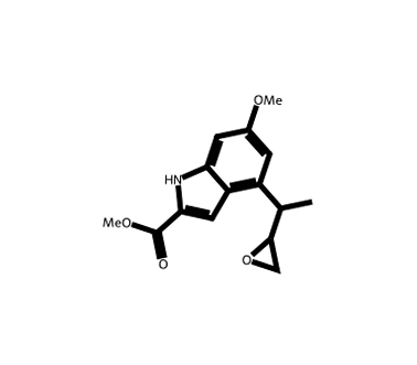 COC(=O)c1cc2c(C(C)C3CO3)cc(OC)cc2[nH]1